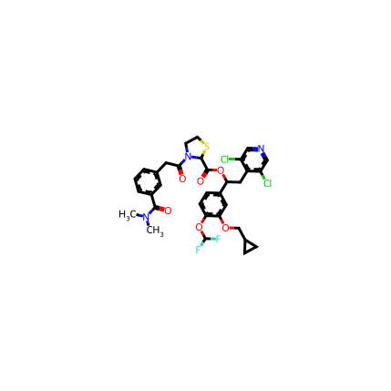 CN(C)C(=O)c1cccc(CC(=O)N2CCSC2C(=O)OC(Cc2c(Cl)cncc2Cl)c2ccc(OC(F)F)c(OCC3CC3)c2)c1